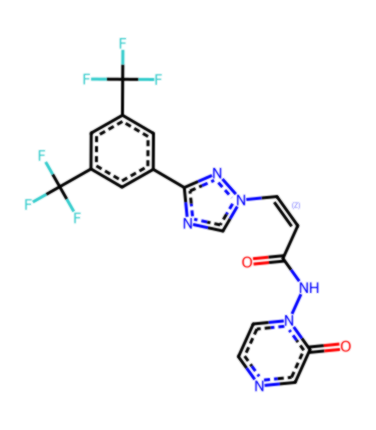 O=C(/C=C\n1cnc(-c2cc(C(F)(F)F)cc(C(F)(F)F)c2)n1)Nn1ccncc1=O